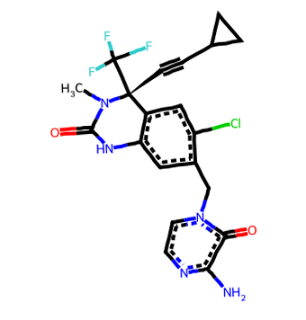 CN1C(=O)Nc2cc(Cn3ccnc(N)c3=O)c(Cl)cc2[C@@]1(C#CC1CC1)C(F)(F)F